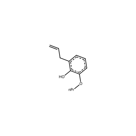 C=CCc1cccc(OCCC)c1O